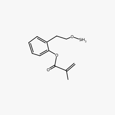 C=C(C)C(=O)Oc1ccccc1CCO[SiH3]